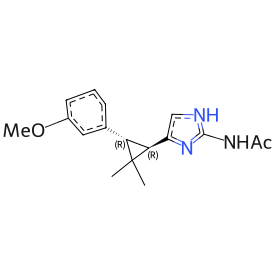 COc1cccc([C@@H]2[C@@H](c3c[nH]c(NC(C)=O)n3)C2(C)C)c1